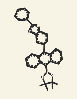 CC1(C)OB(c2c3ccccc3c(-c3ccc4sc(-c5ccccc5)nc4c3)c3ccccc23)OC1(C)C